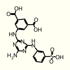 Nc1nc(Nc2cc(C(=O)O)cc(C(=O)O)c2)nc(Nc2cccc(S(=O)(=O)O)c2)n1